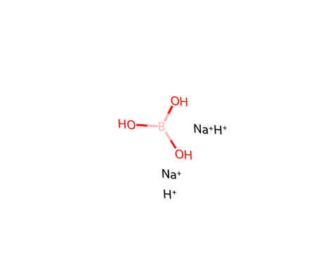 OB(O)O.[H+].[H+].[Na+].[Na+]